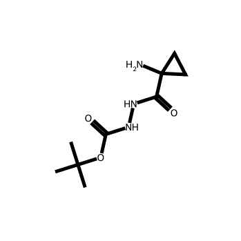 CC(C)(C)OC(=O)NNC(=O)C1(N)CC1